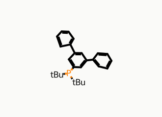 CC(C)(C)P(c1cc(-c2ccccc2)cc(-c2ccccc2)c1)C(C)(C)C